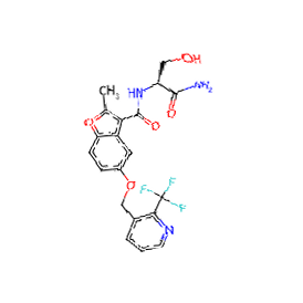 Cc1oc2ccc(OCc3cccnc3C(F)(F)F)cc2c1C(=O)N[C@@H](CO)C(N)=O